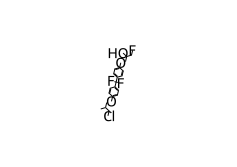 CC(CCl)COc1ccc(C(F)(F)c2ccc(OCC(O)CF)cc2)cc1